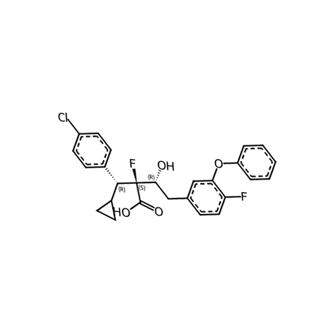 O=C(O)[C@@](F)([C@H](O)Cc1ccc(F)c(Oc2ccccc2)c1)[C@@H](c1ccc(Cl)cc1)C1CC1